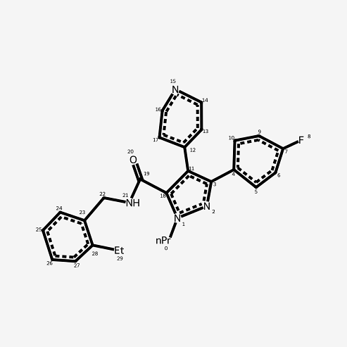 CCCn1nc(-c2ccc(F)cc2)c(-c2ccncc2)c1C(=O)NCc1ccccc1CC